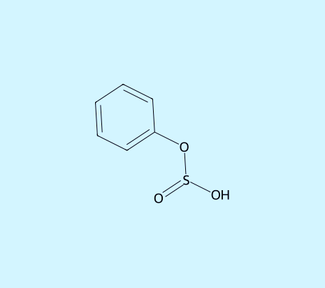 O=S(O)Oc1ccccc1